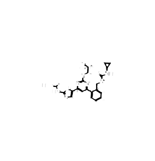 CC(C)Nc1ncc(-c2cc(-c3ccccc3CNC(=O)NC3CC3)nc(NC[C@@H](C)N)n2)s1